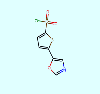 O=S(=O)(Cl)c1ccc(-c2cnco2)s1